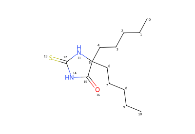 CCCCCC1(CCCCC)NC(=S)NC1=O